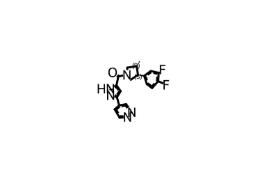 C[C@H]1CN(C(=O)c2cc(-c3ccnnc3)n[nH]2)C[C@@H]1c1ccc(F)c(F)c1